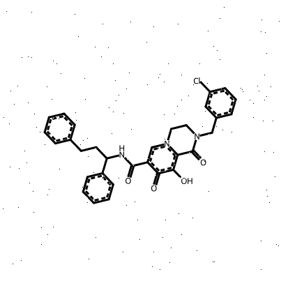 O=C(NC(CCc1ccccc1)c1ccccc1)c1cn2c(c(O)c1=O)C(=O)N(Cc1cccc(Cl)c1)CC2